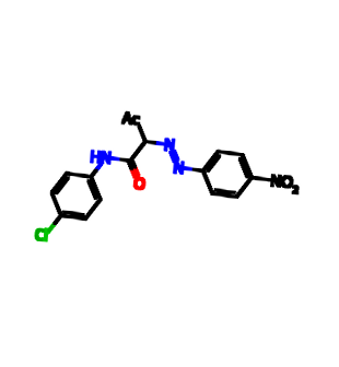 CC(=O)C(N=Nc1ccc([N+](=O)[O-])cc1)C(=O)Nc1ccc(Cl)cc1